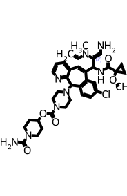 C=CN(C)/C(=C\N)C(NC(=O)C1(OC)CC1)C1=Cc2cccnc2C(N2CCN(C(=O)OC3CCN(C(N)=O)CC3)CC2)c2ccc(Cl)cc21